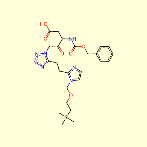 C[Si](C)(C)CCOCn1ccnc1CCc1nnnn1CC(=O)C(CC(=O)O)NC(=O)OCc1ccccc1